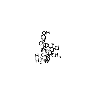 Cc1nc(C(C)c2cc(Cl)c(F)c(-c3ccc(C(=O)N4CCC(O)CC4)nc3)c2OC(C)C)n2ccnc(N)c12